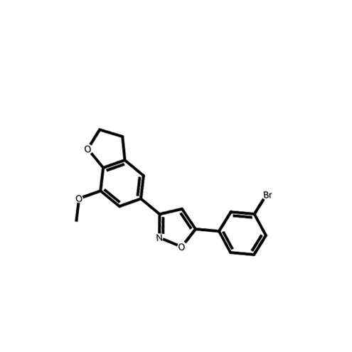 COc1cc(-c2cc(-c3cccc(Br)c3)on2)cc2c1OCC2